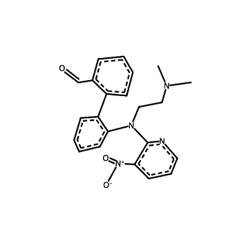 CN(C)CCN(c1ccccc1-c1ccccc1C=O)c1ncccc1[N+](=O)[O-]